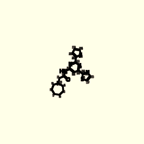 O=C(CN1CCCCCC1)Nc1cc(-c2nccs2)nc(-c2cccs2)n1